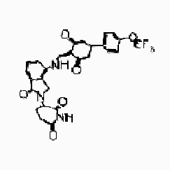 O=C1CCC(N2Cc3c(NC=C4C(=O)CC(c5ccc(OC(F)(F)F)cc5)CC4=O)cccc3C2=O)C(=O)N1